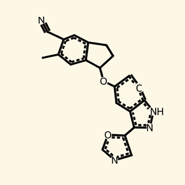 Cc1cc2c(cc1C#N)CCC2Oc1ccc2[nH]nc(-c3cnco3)c2c1